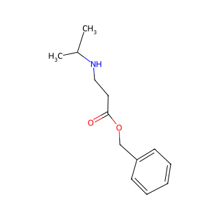 CC(C)NCCC(=O)OCc1ccccc1